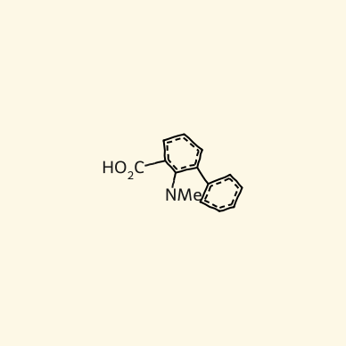 CNc1c(C(=O)O)cccc1-c1ccccc1